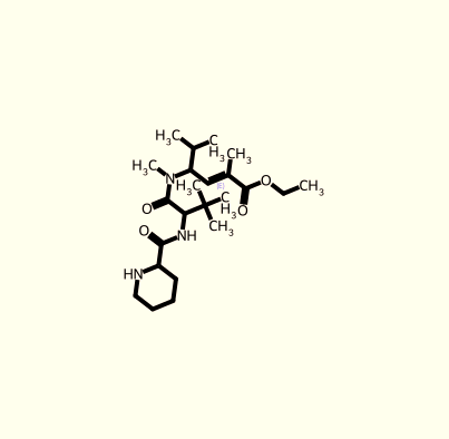 CCOC(=O)/C(C)=C/C(C(C)C)N(C)C(=O)C(NC(=O)C1CCCCN1)C(C)(C)C